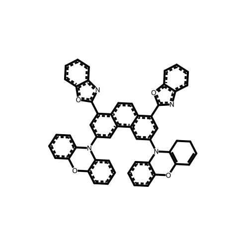 C1=CC2=C(CC1)N(c1cc(-c3nc4ccccc4o3)c3ccc4c(-c5nc6ccccc6o5)cc(N5c6ccccc6Oc6ccccc65)cc4c3c1)c1ccccc1O2